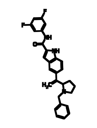 C=C(c1ccc2[nH]c(C(=O)Nc3cc(F)cc(F)c3)cc2c1)C1CCCN1Cc1ccccc1